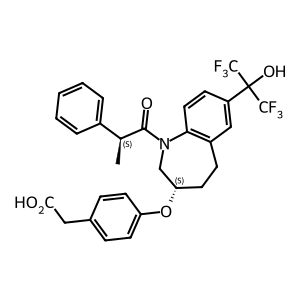 C[C@H](C(=O)N1C[C@@H](Oc2ccc(CC(=O)O)cc2)CCc2cc(C(O)(C(F)(F)F)C(F)(F)F)ccc21)c1ccccc1